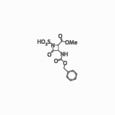 COC(=O)C1C(NC(=O)OCc2ccccc2)C(=O)N1S(=O)(=O)O